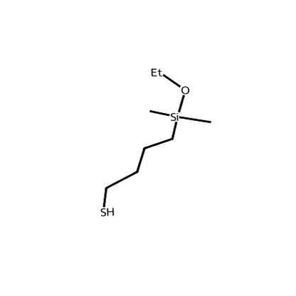 CCO[Si](C)(C)CCCCS